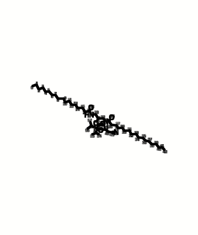 CCCCCCCCCCCCCCCCCC(=O)NCC(CNC(=O)CCCCCCCCCCCCCCCCC)OP(=O)(OCCC#N)N(C(C)C)C(C)C